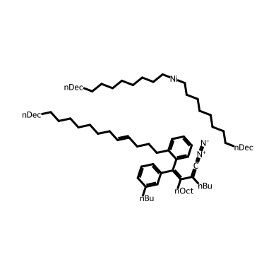 CCCCCCCCCCCCCCCCCC=CCCCc1ccccc1C(=C(CCCCCCCC)C(=C=[N+]=[N-])CCCC)c1cccc(CCCC)c1.CCCCCCCCCCCCCCCCC[CH2][Ni][CH2]CCCCCCCCCCCCCCCCC